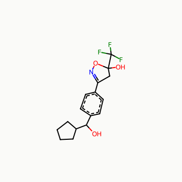 OC(c1ccc(C2=NOC(O)(C(F)(F)F)C2)cc1)C1CCCC1